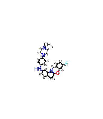 CN1CCN(c2ccc(Nc3ccc4ccc(=O)n(Cc5ccc(F)cc5)c4c3)cc2)CC1